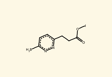 Bc1ccc(CCC(=O)OI)nn1